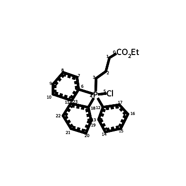 CCOC(=O)CCCP(Cl)(c1ccccc1)(c1ccccc1)c1ccccc1